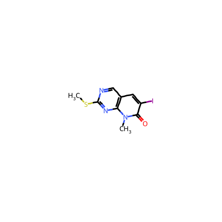 CSc1ncc2cc(I)c(=O)n(C)c2n1